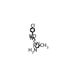 Cc1cc(N)nc(SCc2nnc(-c3ccc(Cl)cc3)o2)n1